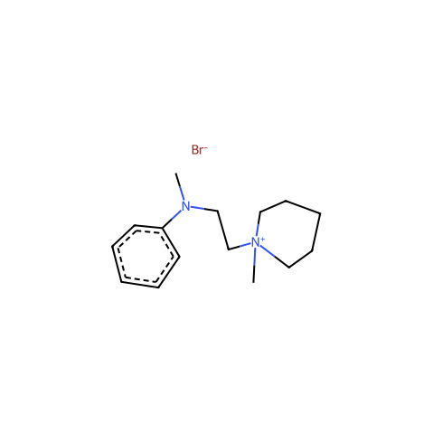 CN(CC[N+]1(C)CCCCC1)c1ccccc1.[Br-]